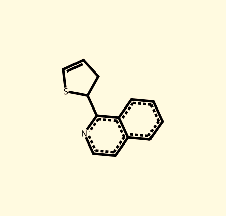 C1=CSC(c2nccc3ccccc23)C1